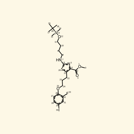 COC(=O)c1nc(NCCCCO[Si](C)(C)C(C)(C)C)sc1CCCOc1ccc(I)cc1F